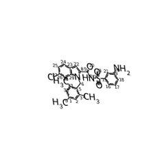 Cc1cc(C)c(Cn2c(C(=O)NS(=O)(=O)c3cccc(N)c3)cc3ccc(Cl)cc32)c(C)c1